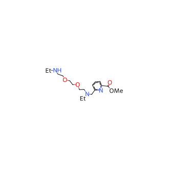 CCNCCOCCOCCN(CC)Cc1cccc(C(=O)OC)n1